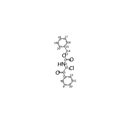 O=C(NC(Cl)C(=O)c1ccccc1)OCc1ccccc1